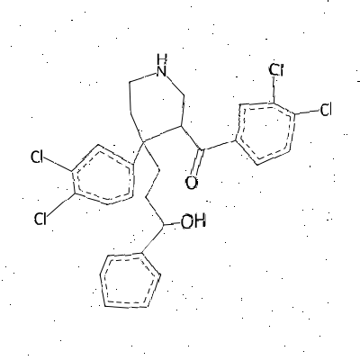 O=C(c1ccc(Cl)c(Cl)c1)C1CNCCC1(CCC(O)c1ccccc1)c1ccc(Cl)c(Cl)c1